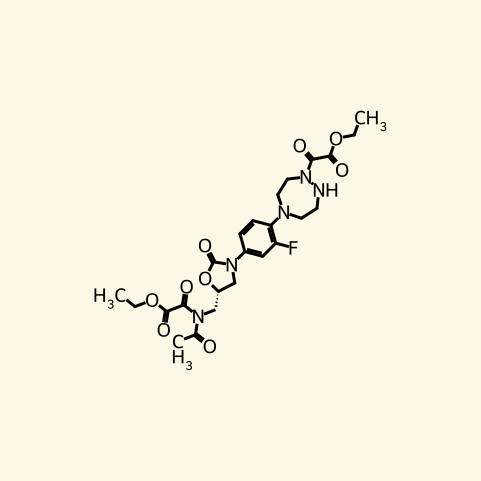 CCOC(=O)C(=O)N1CCN(c2ccc(N3C[C@H](CN(C(C)=O)C(=O)C(=O)OCC)OC3=O)cc2F)CCN1